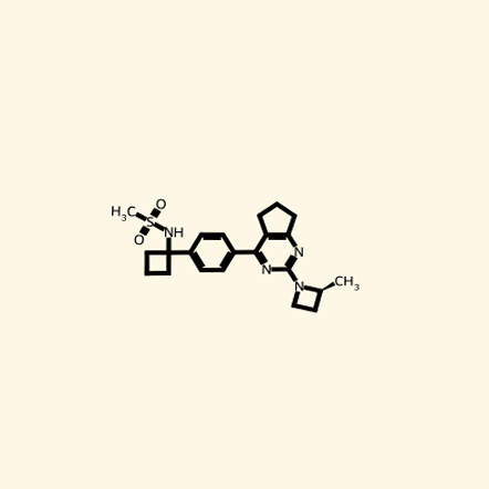 C[C@H]1CCN1c1nc2c(c(-c3ccc(C4(NS(C)(=O)=O)CCC4)cc3)n1)CCC2